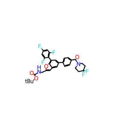 CC(C)(C)OC(=O)NCc1cc2cc(-c3ccc(C(=O)N4CCC(F)(F)CC4)cc3)cc(-c3c(F)cc(F)cc3F)c2o1